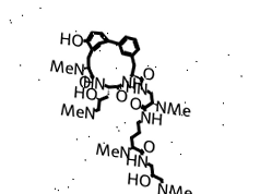 CNCC(O)CNC(=O)[C@H](CCCNC(=O)[C@H](CNC(=O)[C@@H]1Cc2cccc(c2)-c2ccc(O)c(c2)C[C@H](NC)C(=O)N[C@@H](C[C@@H](O)CNC)C(=O)N1)NC)NC